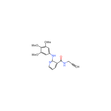 C#CCNC(=O)c1cccnc1Nc1cc(OC)c(OC)c(OC)c1